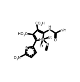 C=N[SH]1(CC)(CC)C(NC(=O)CCC)=C(C(=O)O)C(C(=O)O)=C1c1ccc([N+](=O)[O-])s1